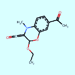 CCOC1Oc2cc(C(C)=O)ccc2N(C)C1=C=O